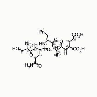 CC(C)C[C@H](NC(=O)[C@H](CCC(N)=O)NC(=O)[C@@H](N)CO)C(=O)N[C@H](C(=O)N[C@@H](CCC(=O)O)C(=O)O)C(C)C